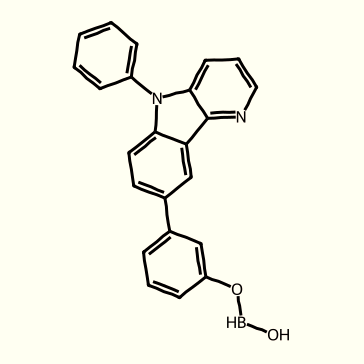 OBOc1cccc(-c2ccc3c(c2)c2ncccc2n3-c2ccccc2)c1